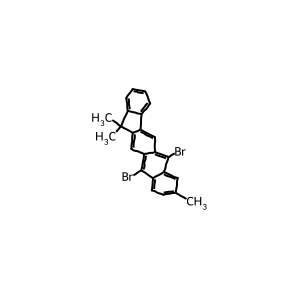 Cc1ccc2c(Br)c3cc4c(cc3c(Br)c2c1)-c1ccccc1C4(C)C